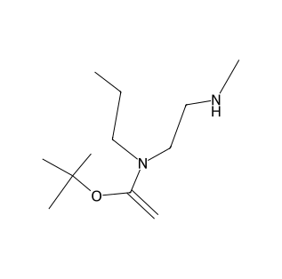 C=C(OC(C)(C)C)N(CCC)CCNC